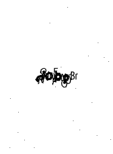 O=C1O[C@@H](CBr)CN1c1cc(F)c(N2CCn3c(=O)c4cccnc4n3CC2)c(F)c1